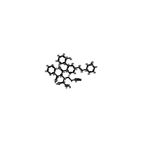 CSCC[C@@H](C(N)=O)N(C(=O)c1ccccc1)C(=O)c1ccc(C=Cc2cccnc2)cc1-c1ccccc1C